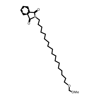 COCOCCCCCCCCCCCCCCCCCCN1C(=O)c2ccccc2C1=O